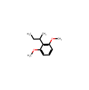 CCC(C)c1c(OC)cccc1OC